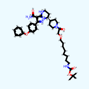 CC(C)(C)OC(=O)NCCCCCCCCOCC(=O)N1CCC([C@@H]2CCNc3c(C(N)=O)c(-c4ccc(Oc5ccccc5)cc4)nn32)CC1